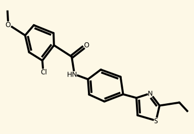 CCc1nc(-c2ccc(NC(=O)c3ccc(OC)cc3Cl)cc2)cs1